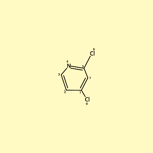 Clc1[c]cnc(Cl)c1